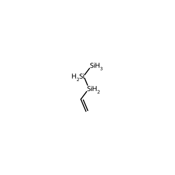 C=C[SiH2][SiH2][SiH3]